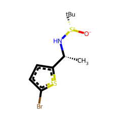 C[C@@H](N[S@@+]([O-])C(C)(C)C)c1ccc(Br)s1